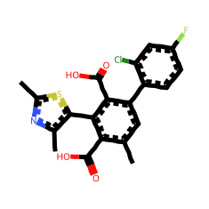 Cc1nc(C)c(-c2c(C(=O)O)c(C)cc(-c3ccc(F)cc3Cl)c2C(=O)O)s1